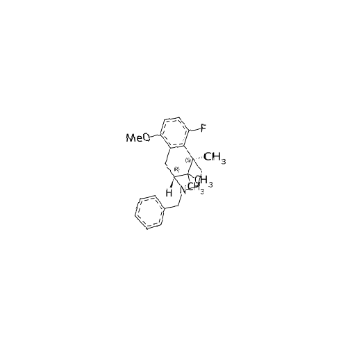 COc1ccc(F)c2c1C[C@H]1N(Cc3ccccc3)CC[C@@]2(C)C1(C)C